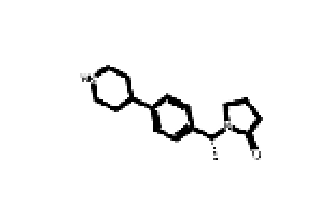 C[C@H](c1ccc(C2CCNCC2)cc1)N1CCCC1=O